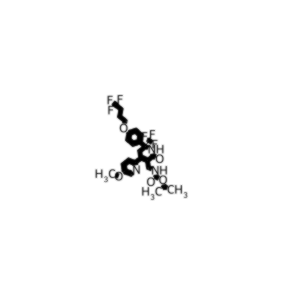 COc1ccc(C2=C(CNC(=O)OC(C)C)C(=O)N[C@@](c3ccc(OCCCC(F)(F)F)cc3)(C(F)(F)F)C2)nc1